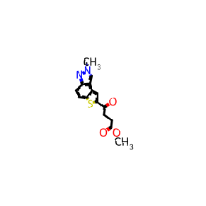 COC(=O)CCC(=O)c1cc2c(ccc3nn(C)cc32)s1